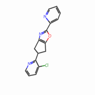 Clc1cccnc1C1Cc2nc(-c3ccccn3)oc2C1